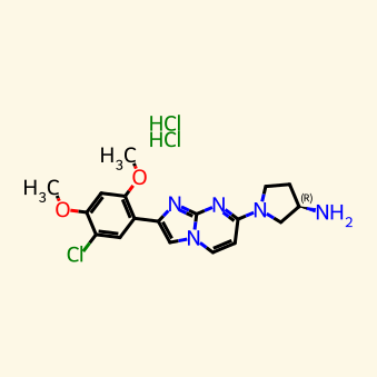 COc1cc(OC)c(-c2cn3ccc(N4CC[C@@H](N)C4)nc3n2)cc1Cl.Cl.Cl